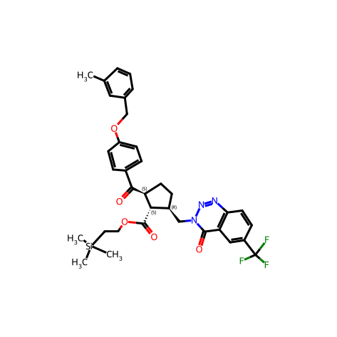 Cc1cccc(COc2ccc(C(=O)[C@H]3CC[C@@H](Cn4nnc5ccc(C(F)(F)F)cc5c4=O)[C@@H]3C(=O)OCC[Si](C)(C)C)cc2)c1